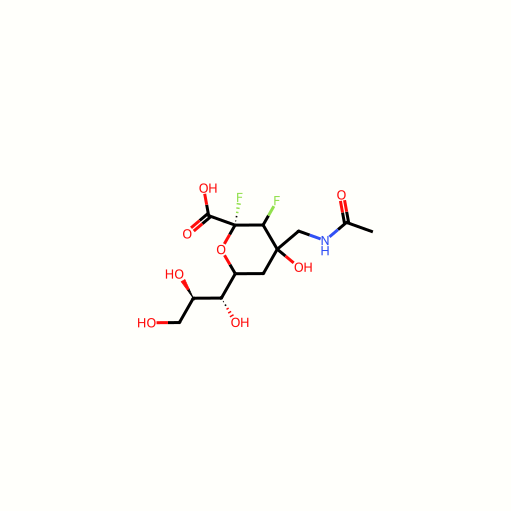 CC(=O)NCC1(O)CC([C@H](O)[C@H](O)CO)O[C@@](F)(C(=O)O)C1F